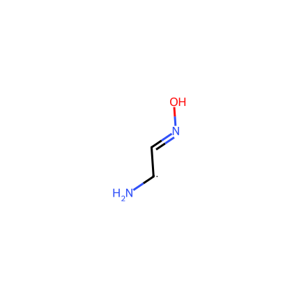 N[CH]C=NO